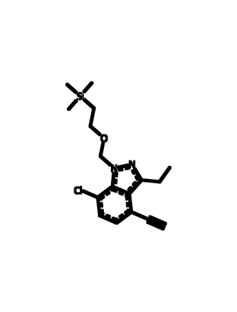 C#Cc1ccc(Cl)c2c1c(CC)nn2COCC[Si](C)(C)C